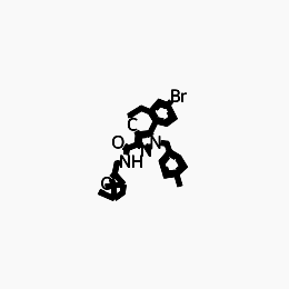 Cc1ccc(Cn2nc(C(=O)NCC3CCC4CC3C4(C)C)c3c2-c2ccc(Br)cc2CCC3)cc1